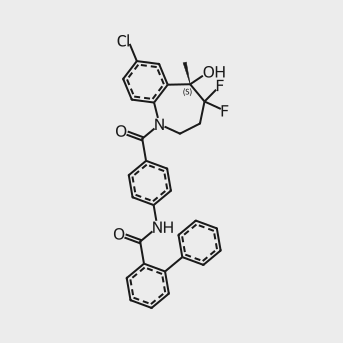 C[C@]1(O)c2cc(Cl)ccc2N(C(=O)c2ccc(NC(=O)c3ccccc3-c3ccccc3)cc2)CCC1(F)F